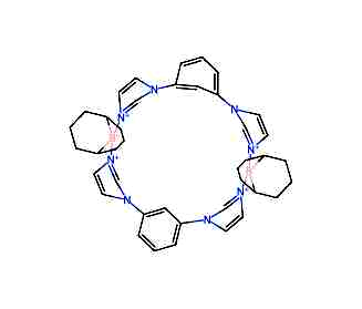 c1cc2cc(c1)-n1cc[n+](c1)[B-]1(C3CCCC1CCC3)[n+]1ccn(c1)-c1cccc(c1)-n1cc[n+](c1)[B-]1(C3CCCC1CCC3)[n+]1ccn-2c1